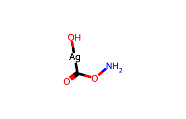 NO[C](=O)[Ag][OH]